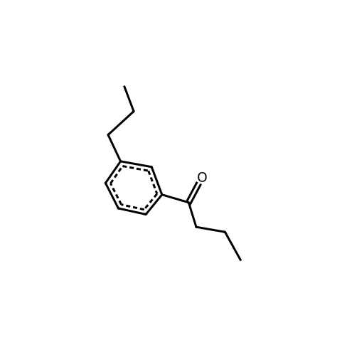 CCCC(=O)c1cccc(CCC)c1